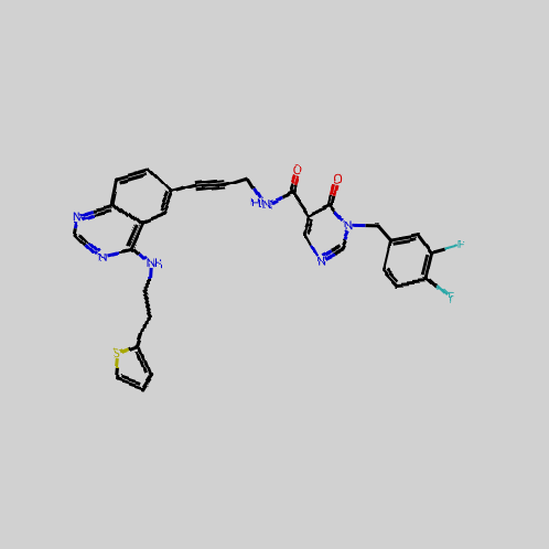 O=C(NCC#Cc1ccc2ncnc(NCCc3cccs3)c2c1)c1cncn(Cc2ccc(F)c(F)c2)c1=O